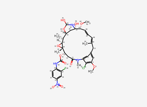 COc1cc2cc(c1Cl)N(C)C(=O)C[C@H](OC(=O)Nc1ccc([N+](=O)[O-])cc1F)[C@]1(C)O[C@H]1[C@H](C)[C@@H]1C[C@@](O)(NC(O)O1)[C@H](OC)/C=C/C=C(\C)C2